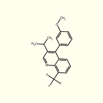 COc1cccc(-c2c(C(C)C)cnc3c(C(F)(F)F)cccc23)c1